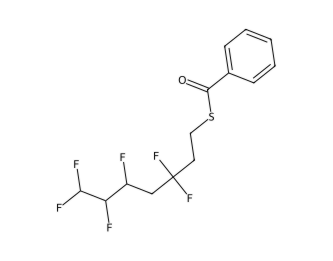 O=C(SCCC(F)(F)CC(F)C(F)C(F)F)c1ccccc1